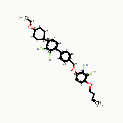 C=CCCOc1ccc(OCc2ccc(-c3ccc(C4CCC(OCC)CC4)c(F)c3F)cc2)c(F)c1F